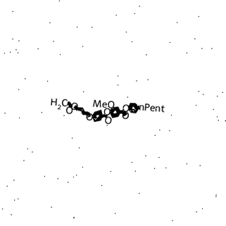 C=CC(=O)OCCCCOc1ccc(C(=O)Oc2ccc(C(=O)Oc3ccc(CCCCC)cc3)cc2OC)cc1